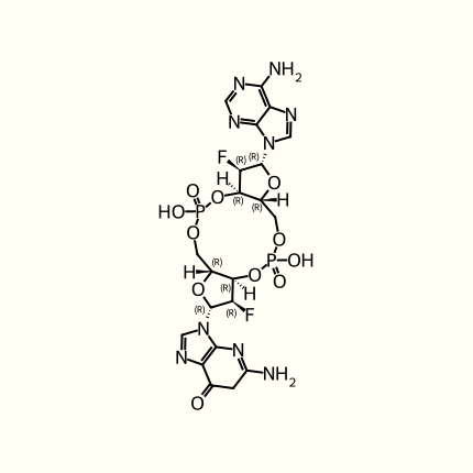 NC1=Nc2c(ncn2[C@@H]2O[C@@H]3COP(=O)(O)O[C@H]4[C@@H](F)[C@H](n5cnc6c(N)ncnc65)O[C@@H]4COP(=O)(O)O[C@H]3[C@H]2F)C(=O)C1